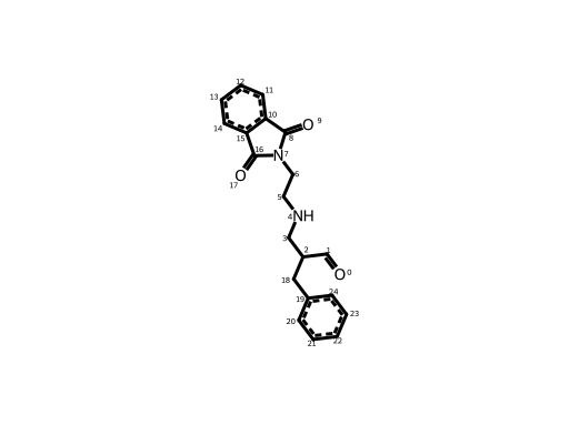 O=CC(CNCCN1C(=O)c2ccccc2C1=O)Cc1ccccc1